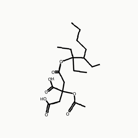 CCCCC(CC)C(CC)(CC)OC(=O)CC(CC(=O)O)(OC(C)=O)C(=O)O